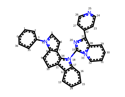 c1ccc(-n2ccc3c2ccc2c4ccccc4n(-c4nc(-c5ccncc5)c5ccccn45)c23)cc1